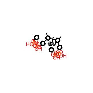 Cc1cc(-c2ccc(OP(=O)(O)OP(=O)(O)Oc3ccccc3)cc2)c(C(C)(C)C)c(C(C)(C)c2cc(C)cc(-c3ccc(OP(=O)(O)OP(=O)(O)Oc4ccccc4)cc3)c2C(C)(C)C)c1